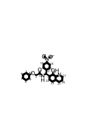 O=C(COc1ccccc1)NC(c1ccc([N+](=O)[O-])cc1)c1ccc2cccnc2c1O